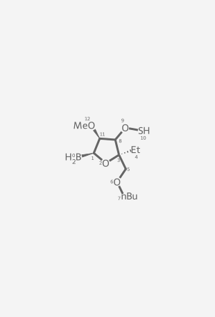 B[C@@H]1O[C@](CC)(COCCCC)C(OS)[C@@H]1OC